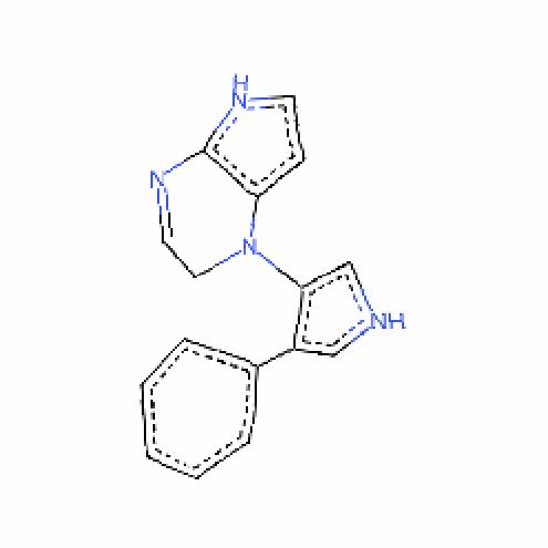 C1=Nc2[nH]ccc2N(c2c[nH]cc2-c2ccccc2)C1